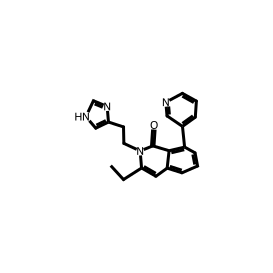 CCc1cc2cccc(-c3cccnc3)c2c(=O)n1CCc1c[nH]cn1